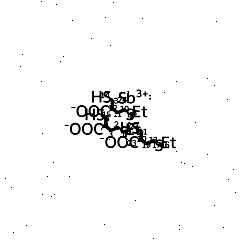 CCSCCC(CS)C(=O)[O-].CCSCCC(CS)C(=O)[O-].CCSCCC(CS)C(=O)[O-].[Sb+3]